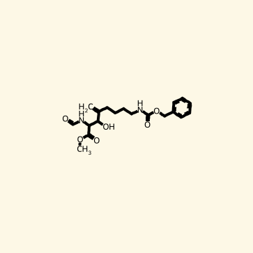 C=C(CCCCNC(=O)OCc1ccccc1)C(O)C(NC=O)C(=O)OC